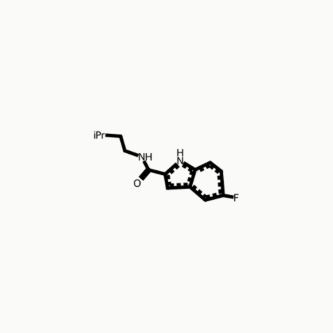 CC(C)CCNC(=O)c1cc2cc(F)ccc2[nH]1